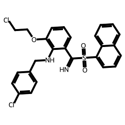 N=C(c1cccc(OCCCl)c1NCc1ccc(Cl)cc1)S(=O)(=O)c1cccc2ccccc12